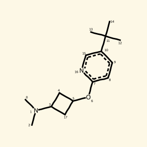 CN(C)C1CC(Oc2ccc(C(C)(C)C)cn2)C1